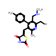 Cc1ccc(-c2c(/C=C3\SC(=O)NC3=O)c(C)nc(CC(C)C)c2CNC(=O)O)cc1